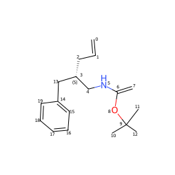 C=CC[C@H](CNC(=C)OC(C)(C)C)Cc1ccccc1